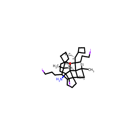 CCC1(C)CCC1(C(C)(CCCI)[C@H](C)C1CCC1)C1(C2(C)CCCC2C(CCCI)C(C)(C)C2CCC2)CCCCC1(N)CI